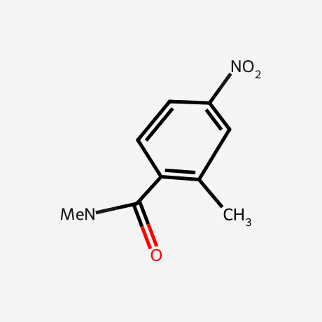 CNC(=O)c1ccc([N+](=O)[O-])cc1C